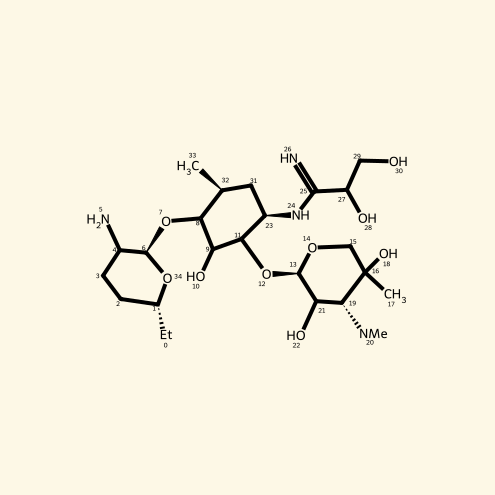 CC[C@@H]1CCC(N)[C@@H](OC2C(O)C(O[C@H]3OCC(C)(O)[C@H](NC)C3O)[C@H](NC(=N)C(O)CO)C[C@@H]2C)O1